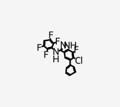 Fc1cc(F)c(F)c(Nc2n[nH]c3c(F)c(Cl)c(-c4ccccc4)cc23)c1F